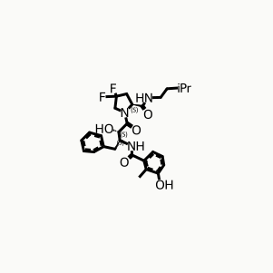 Cc1c(O)cccc1C(=O)N[C@@H](Cc1ccccc1)[C@H](O)C(=O)N1CC(F)(F)C[C@H]1C(=O)NCCC(C)C